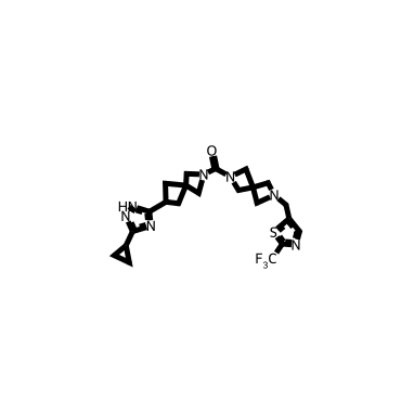 O=C(N1CC2(CC(c3nc(C4CC4)n[nH]3)C2)C1)N1CC2(CN(Cc3cnc(C(F)(F)F)s3)C2)C1